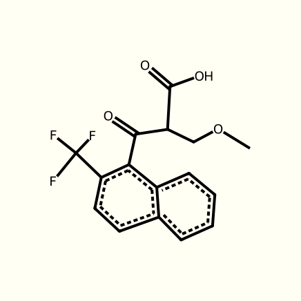 COCC(C(=O)O)C(=O)c1c(C(F)(F)F)ccc2ccccc12